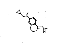 CNC[C@@H]1CCCc2cc(N(C)CC3CC3)ccc21